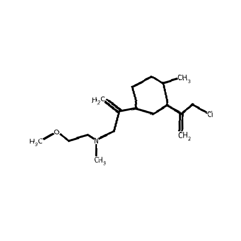 C=C(CN(C)CCOC)C1CCC(C)C(C(=C)CCl)C1